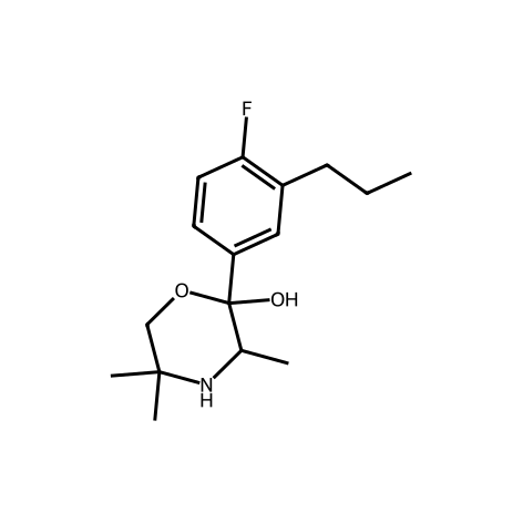 CCCc1cc(C2(O)OCC(C)(C)NC2C)ccc1F